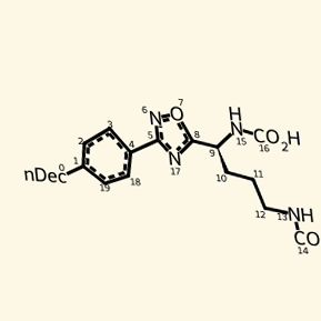 CCCCCCCCCCc1ccc(-c2noc([C@H](CCCNC(=O)O)NC(=O)O)n2)cc1